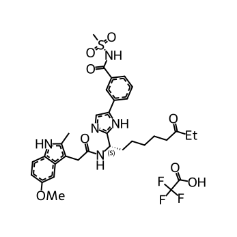 CCC(=O)CCCCC[C@H](NC(=O)Cc1c(C)[nH]c2ccc(OC)cc12)c1ncc(-c2cccc(C(=O)NS(C)(=O)=O)c2)[nH]1.O=C(O)C(F)(F)F